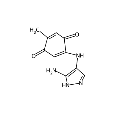 CC1=CC(=O)C(Nc2cn[nH]c2N)=CC1=O